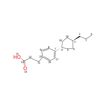 CCC[C@H]1CC[C@H](c2ccc(CCC(=O)O)cc2)CC1